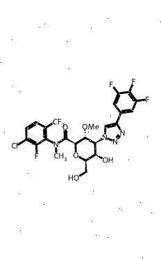 CO[C@@H]1[C@@H](n2cc(-c3cc(F)c(F)c(F)c3)nn2)[C@@H](O)[C@@H](CO)O[C@H]1C(=O)N(C)c1c(C(F)(F)F)ccc(Cl)c1F